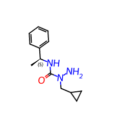 C[C@H](NC(=O)N(N)CC1CC1)c1ccccc1